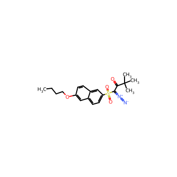 CCCCOc1ccc2cc(S(=O)(=O)C(=[N+]=[N-])C(=O)C(C)(C)C)ccc2c1